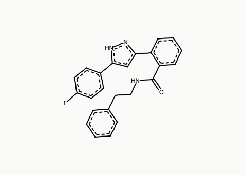 O=C(NCCc1ccccc1)c1ccccc1-c1cc(-c2ccc(F)cc2)[nH]n1